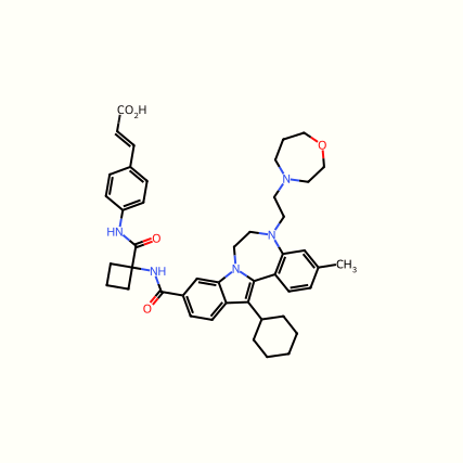 Cc1ccc2c(c1)N(CCN1CCCOCC1)CCn1c-2c(C2CCCCC2)c2ccc(C(=O)NC3(C(=O)Nc4ccc(/C=C/C(=O)O)cc4)CCC3)cc21